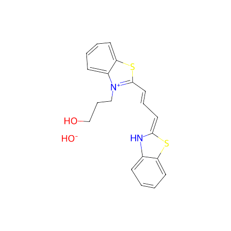 OCCC[n+]1c(C=CC=C2Nc3ccccc3S2)sc2ccccc21.[OH-]